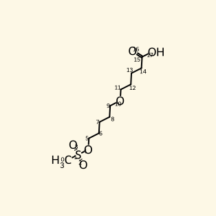 CS(=O)(=O)OCCCCCOCCCCC(=O)O